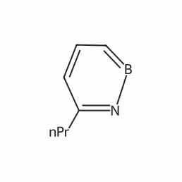 CCCc1cccbn1